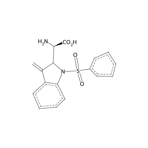 C=C1c2ccccc2N(S(=O)(=O)c2ccccc2)C1[C@@H](N)C(=O)O